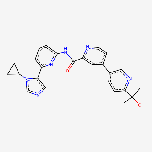 CC(C)(O)c1ccc(-c2ccnc(C(=O)Nc3cccc(-c4cncn4C4CC4)n3)c2)cn1